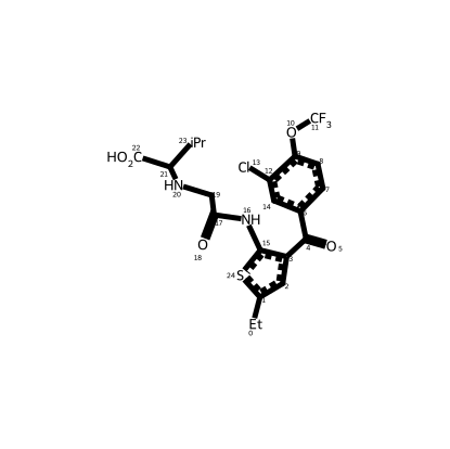 CCc1cc(C(=O)c2ccc(OC(F)(F)F)c(Cl)c2)c(NC(=O)CNC(C(=O)O)C(C)C)s1